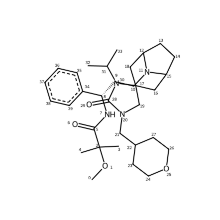 COC(C)(C)C(=O)N[C@@H](CCN1C2CCC1CC1(C2)CN(CC2CCOCC2)C(=O)N1C(C)C)c1ccccc1